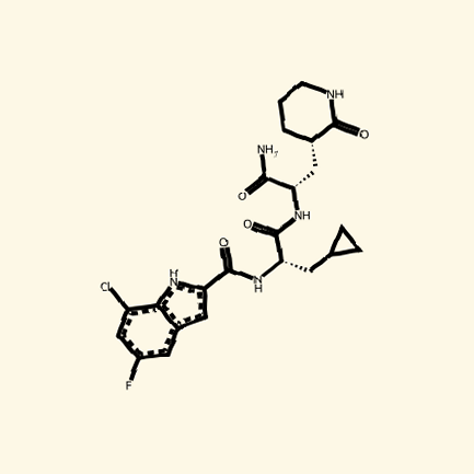 NC(=O)[C@H](C[C@@H]1CCCNC1=O)NC(=O)[C@H](CC1CC1)NC(=O)c1cc2cc(F)cc(Cl)c2[nH]1